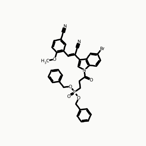 COc1ccc(C#N)cc1/C=C(\C#N)c1cn(C(=O)CCP(=O)(OCc2ccccc2)OCc2ccccc2)c2ccc(Br)cc12